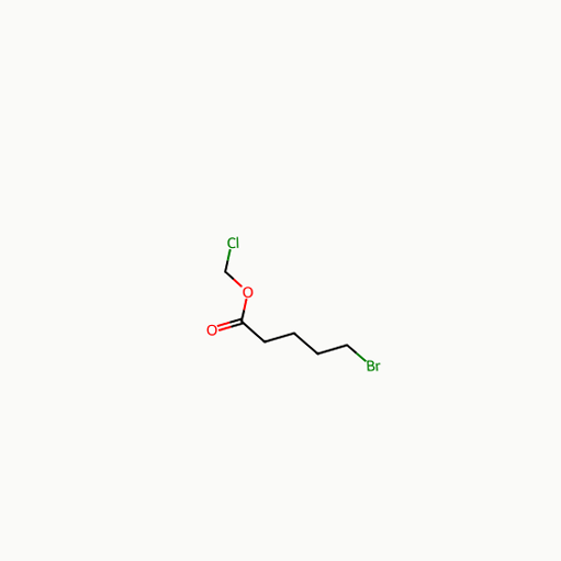 O=C(CCCCBr)OCCl